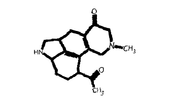 CC(=O)C1CCC2NCC3CC4=C(CN(C)CC4=O)C1=C32